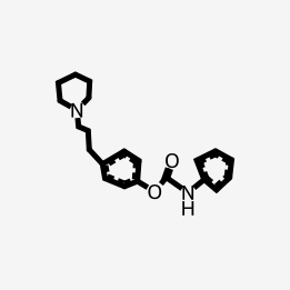 O=C(Nc1ccccc1)Oc1ccc(CCCN2CCCCC2)cc1